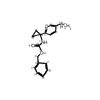 CBc1ccc(C2(NC(=O)OCc3ccccc3)CC2)nc1